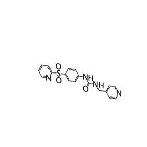 O=C(NCc1ccncc1)Nc1ccc(S(=O)(=O)c2ccccn2)cc1